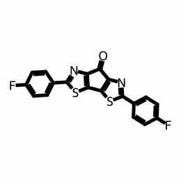 O=C1c2nc(-c3ccc(F)cc3)sc2-c2sc(-c3ccc(F)cc3)nc21